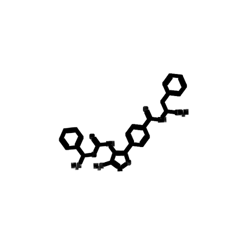 Cc1noc(-c2ccc(C(=O)NC(Cc3ccccc3)C(=O)O)cc2)c1NC(=O)OC(C)c1ccccc1